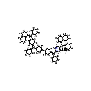 C=C(/C=C\C(=C/C)N(c1ccccc1)c1ccc(-c2ccc(N(c3ccccc3)c3ccc(N(c4ccccc4)c4cccc5ccccc45)cc3)cc2)cc1)N(C1=CCCC=C1)c1cccc2ccccc12